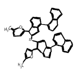 Cc1ccc(C2[C]([Zr][C]3=Cc4c(-c5cccc6ccccc56)cccc4C3c3ccc(C)o3)=Cc3c(-c4cccc5ccccc45)cccc32)o1